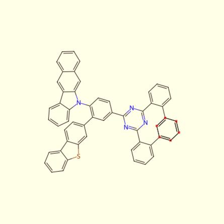 c1ccc(-c2ccccc2-c2nc(-c3ccc(-n4c5ccccc5c5cc6ccccc6cc54)c(-c4ccc5c(c4)sc4ccccc45)c3)nc(-c3ccccc3-c3ccccc3)n2)cc1